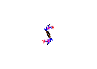 CCCN(Cc1ncc(-c2cc3cc4sc(-c5cnc(CN(CCC)C(=O)CNC(=O)OC)[nH]5)cc4cc3s2)[nH]1)C(=O)CNC(=O)OC